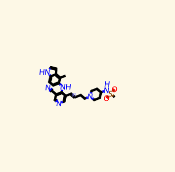 Cc1c(Nc2c(C#N)cncc2/C=C/CCN2CCC(NS(C)(=O)=O)CC2)ccc2[nH]ccc12